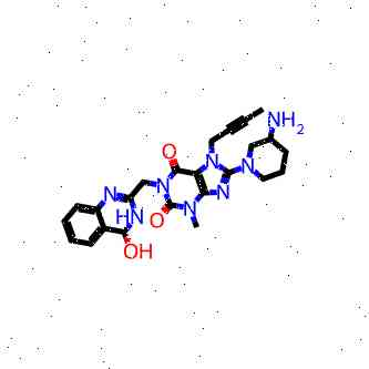 CC#CCn1c(N2CCCC(N)C2)nc2c1c(=O)n(CC1=Nc3ccccc3C(O)N1)c(=O)n2C